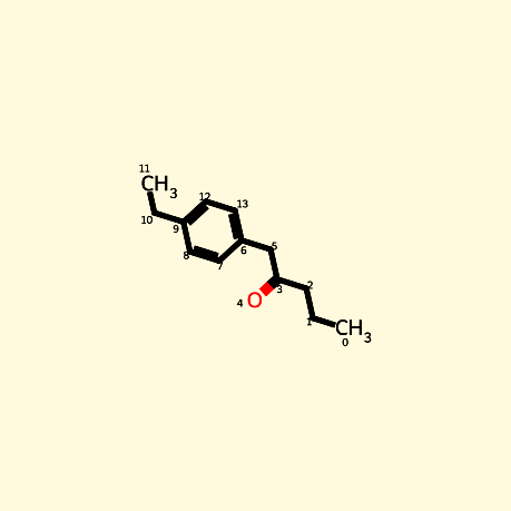 CCCC(=O)Cc1ccc(CC)cc1